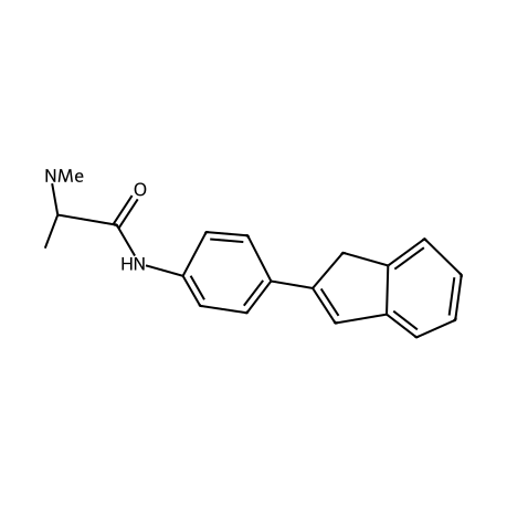 CNC(C)C(=O)Nc1ccc(C2=Cc3ccccc3C2)cc1